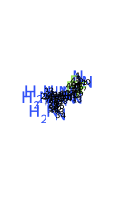 N#CC(C#N)=c1c(F)c(F)c(=C(C#N)C#[N+]Nc2cc3c4cc(N)c(N)nc4c4nc(N)c(C#N)cc4c3nc2C#N)c(F)c1F